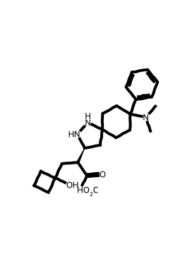 CN(C)C1(c2ccccc2)CCC2(CC1)C[C@@H](C(CC1(O)CCC1)C(=O)C(=O)O)NN2